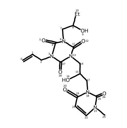 C=CCn1c(=O)n(CC(O)CC)c(=O)n(CC(O)Cn2c(=O)ccn(C)c2=O)c1=O